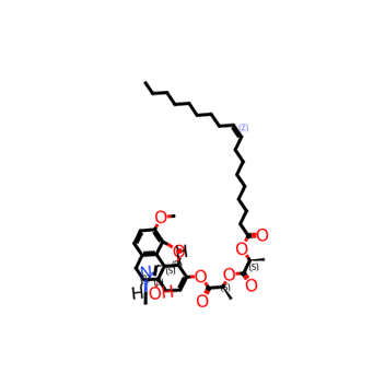 CCCCCCCC/C=C\CCCCCCCC(=O)O[C@@H](C)C(=O)O[C@@H](C)C(=O)OC1=CC[C@@]2(O)[C@H]3Cc4ccc(OC)c5c4[C@@]2(CCN3C)[C@H]1O5